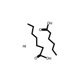 CCCCCC(=O)O.CCCCCCC(=O)O.I